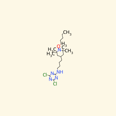 CCCCCON1C(C)(C)CC(CCCCNc2nc(Cl)nc(Cl)n2)CC1(C)C